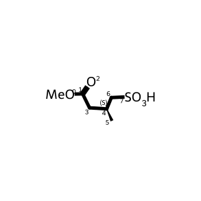 COC(=O)C[C@H](C)CS(=O)(=O)O